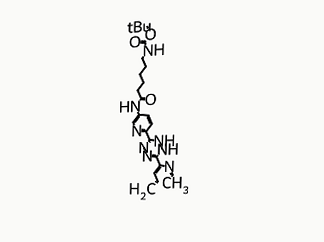 C=C/C=C(\N=C/C)C1=NN=C(c2ccc(NC(=O)CCCCCNC(=O)OC(C)(C)C)cn2)NN1